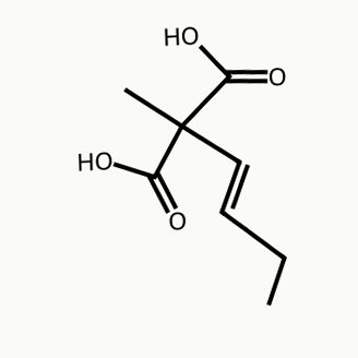 CC/C=C/C(C)(C(=O)O)C(=O)O